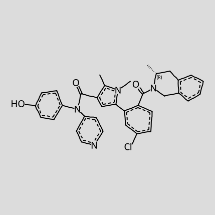 Cc1c(C(=O)N(c2ccncc2)c2ccc(O)cc2)cc(-c2cc(Cl)ccc2C(=O)N2Cc3ccccc3C[C@H]2C)n1C